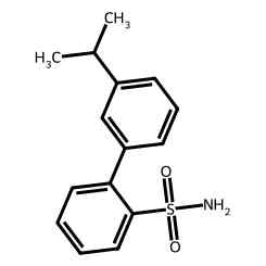 CC(C)c1cccc(-c2ccccc2S(N)(=O)=O)c1